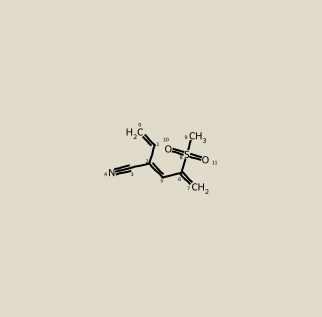 C=C/C(C#N)=C\C(=C)S(C)(=O)=O